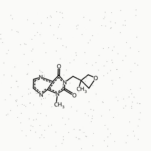 Cn1c(=O)n(CC2(C)COC2)c(=O)c2nccnc21